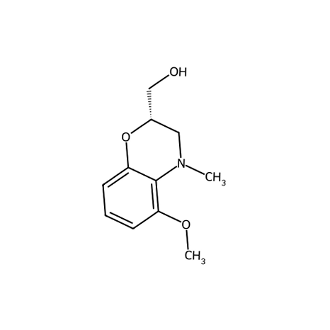 COc1cccc2c1N(C)C[C@@H](CO)O2